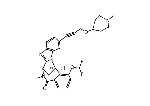 CN1CCC(OCC#Cc2ccc3nc4n(c3c2)[C@@H]2CC4N(C)C(=O)c3cccc(OC(F)F)c32)CC1